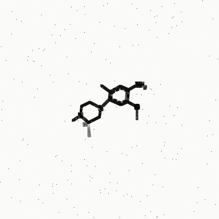 COc1cc(N2CCN(C)[C@@H](C)C2)c(C)cc1N